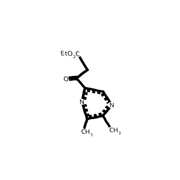 CCOC(=O)CC(=O)c1cnc(C)c(C)n1